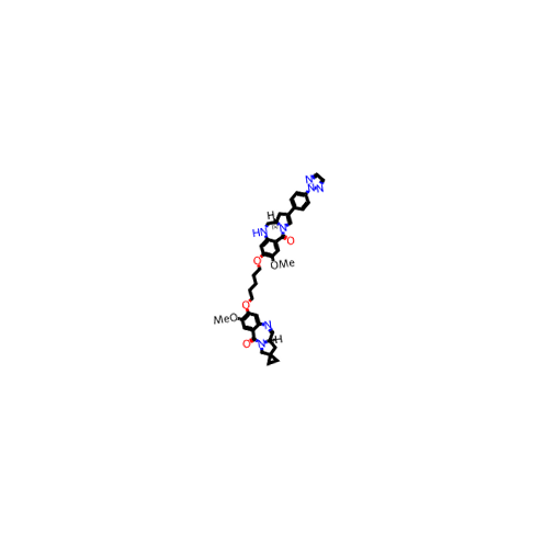 COc1cc2c(cc1OCCCCCOc1cc3c(cc1OC)C(=O)N1C=C(c4ccc(-n5nccn5)cc4)C[C@H]1CN3)N=C[C@@H]1CC3(CC3)CN1C2=O